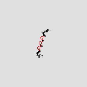 CCCC=COCOCOC=CCCC